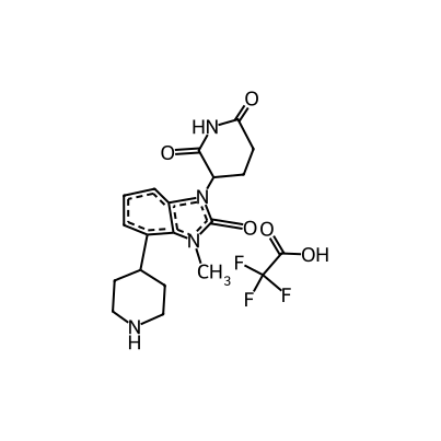 Cn1c(=O)n(C2CCC(=O)NC2=O)c2cccc(C3CCNCC3)c21.O=C(O)C(F)(F)F